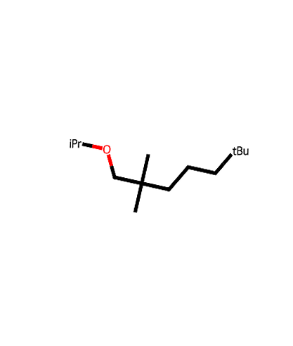 CC(C)OCC(C)(C)CCCC(C)(C)C